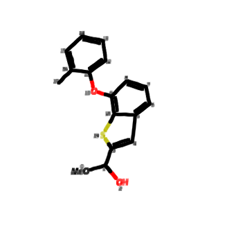 COC(O)c1cc2cccc(Oc3ccccc3C)c2s1